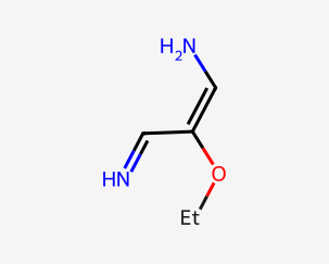 CCO/C(C=N)=C/N